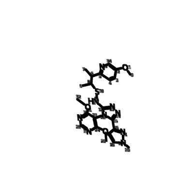 COc1ccc(C(C)C(C)SNc2nnc(-c3ccn(C)n3)n2-c2c(OC)ncnc2OC)nc1